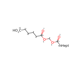 CCCCCCCC(=O)OCOC(=O)CCCCC(=O)O